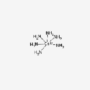 [NH2][Co-3]([NH2])([NH2])([NH2])([NH2])[NH2]